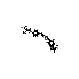 O=C(O)COc1ccc(CC=NOCc2ccc(C(F)(F)F)cc2)cn1